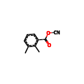 Cc1cccc(C(=O)OC#N)c1C